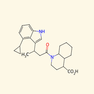 CC(CC(=O)N1CCC(C(=O)O)C2CCCCC21)c1c[nH]c2cccc(C3CC3)c12